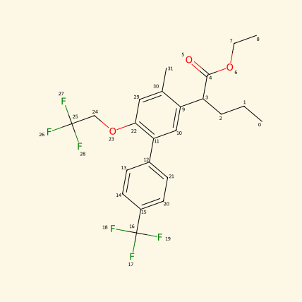 CCCC(C(=O)OCC)c1cc(-c2ccc(C(F)(F)F)cc2)c(OCC(F)(F)F)cc1C